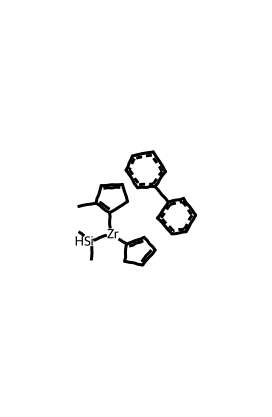 CC1=[C]([Zr]([C]2=CC=CC2)[SiH](C)C)CC=C1.c1ccc(-c2ccccc2)cc1